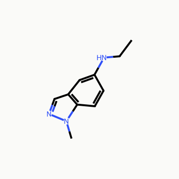 CCNc1ccc2c(cnn2C)c1